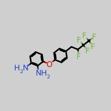 Nc1cccc(Oc2ccc(CC(F)C(F)(F)C(F)(F)F)cc2)c1N